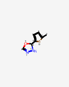 Cc1ccc([C]2NN=CO2)s1